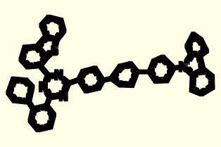 c1ccc(-c2ccccc2-c2nc(-c3ccc(-c4ccc(-c5ccc(-n6c7ccccc7c7ccccc76)cc5)cc4)cc3)nc(-c3cccc4c3sc3ccccc34)n2)cc1